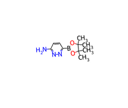 CC1(C)OB(c2ccc(N)nn2)OC1(C)C